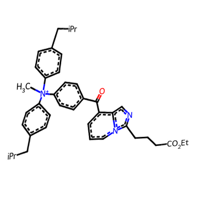 CCOC(=O)CCCc1ncc2c(C(=O)c3ccc([N+](C)(c4ccc(CC(C)C)cc4)c4ccc(CC(C)C)cc4)cc3)cccn12